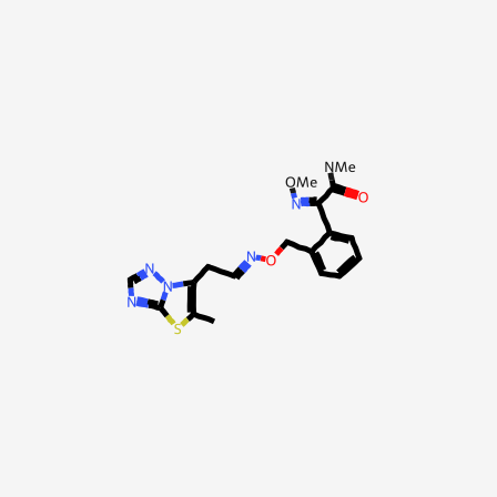 CNC(=O)C(=NOC)c1ccccc1CON=CCc1c(C)sc2ncnn12